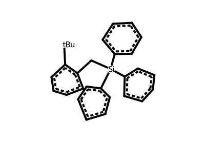 CC(C)(C)c1ccccc1C[Si](c1ccccc1)(c1ccccc1)c1ccccc1